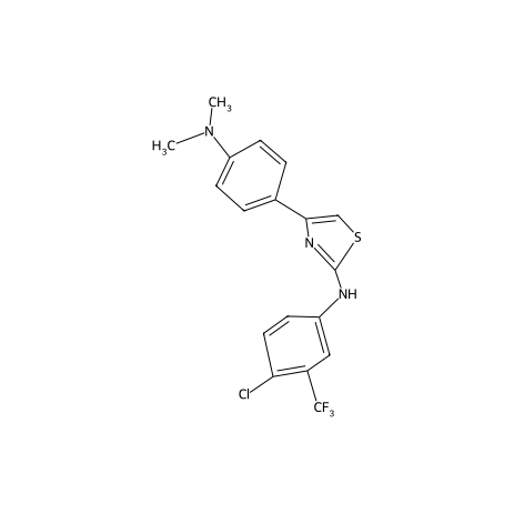 CN(C)c1ccc(-c2csc(Nc3ccc(Cl)c(C(F)(F)F)c3)n2)cc1